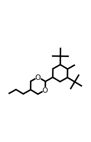 CCCC1COC(C2CC(C(C)(C)C)C(C)C(C(C)(C)C)C2)OC1